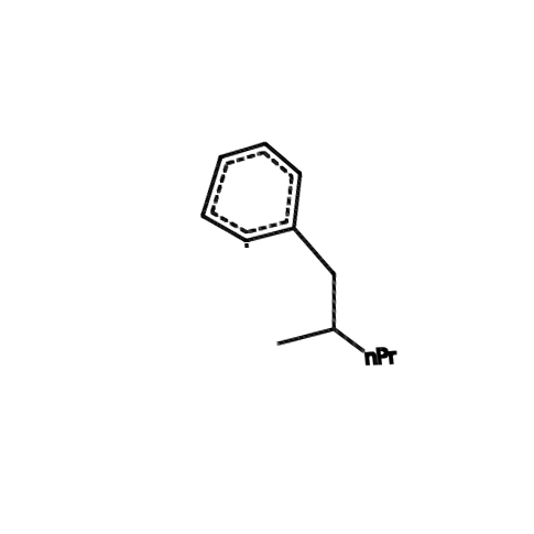 CCCC(C)Cc1[c]cccc1